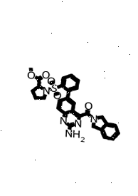 COC(=O)C1CCCN1S(=O)(=O)c1ccccc1-c1ccc2nc(N)nc(C(=O)N3Cc4ccccc4C3)c2c1